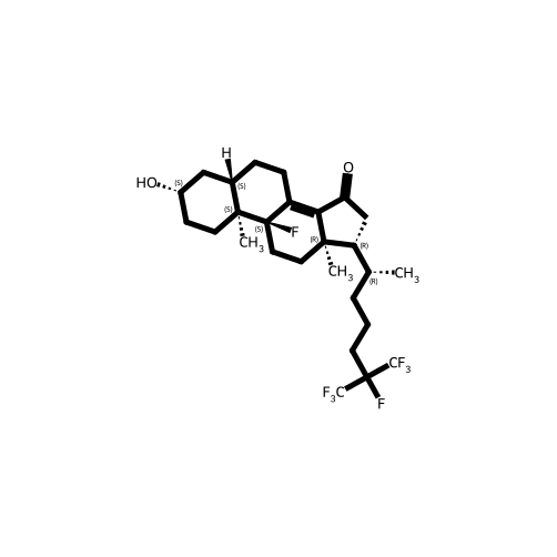 C[C@H](CCCC(F)(C(F)(F)F)C(F)(F)F)[C@H]1CC(=O)C2=C3CC[C@H]4C[C@@H](O)CC[C@]4(C)[C@@]3(F)CC[C@@]21C